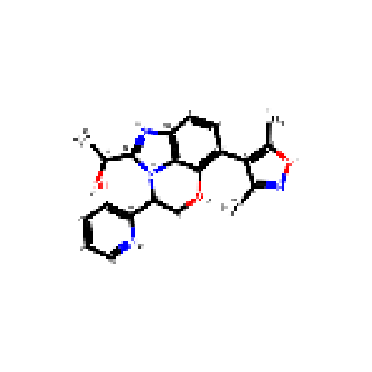 Cc1noc(C)c1-c1ccc2nc(C(C)O)n3c2c1OCC3c1ccccn1